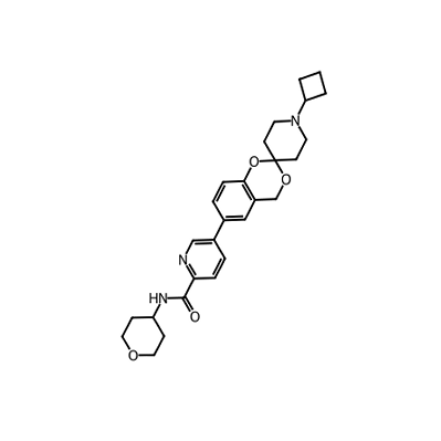 O=C(NC1CCOCC1)c1ccc(-c2ccc3c(c2)COC2(CCN(C4CCC4)CC2)O3)cn1